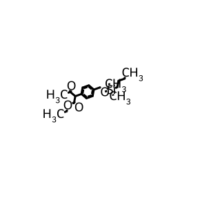 CCCC[Si](C)(C)OCc1ccc(C(C(C)=O)C(=O)OCC)cc1